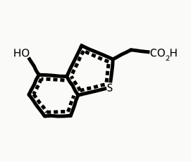 O=C(O)Cc1cc2c(O)cccc2s1